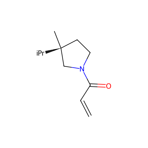 C=CC(=O)N1CC[C@](C)(C(C)C)C1